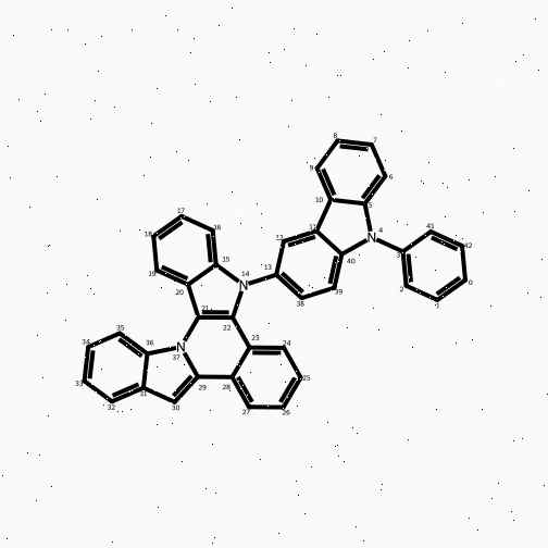 c1ccc(-n2c3ccccc3c3cc(-n4c5ccccc5c5c4c4ccccc4c4cc6ccccc6n45)ccc32)cc1